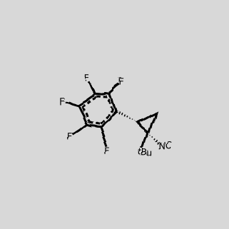 [C-]#[N+][C@@]1(C(C)(C)C)C[C@H]1c1c(F)c(F)c(F)c(F)c1F